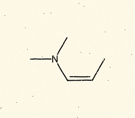 C/C=C\N(C)C